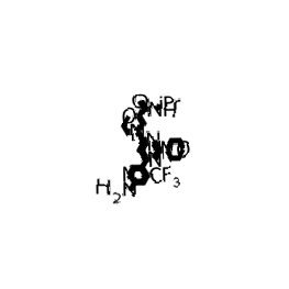 CC(C)NC(=O)C1CN(c2cc(-c3cnc(N)cc3C(F)(F)F)nc(N3CCOCC3)n2)CCO1